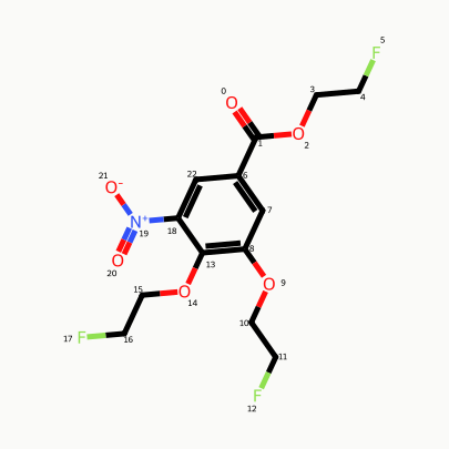 O=C(OCCF)c1cc(OCCF)c(OCCF)c([N+](=O)[O-])c1